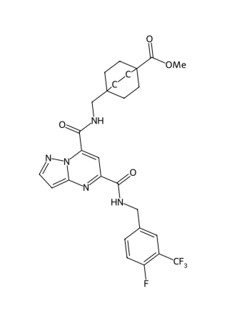 COC(=O)C12CCC(CNC(=O)c3cc(C(=O)NCc4ccc(F)c(C(F)(F)F)c4)nc4ccnn34)(CC1)CC2